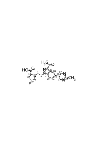 CC(=O)c1nn(CCN2C[C@H](F)C[C@H]2C(=O)O)c2ccc(-c3cnc(C)nc3)cc12